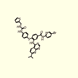 CC(C)c1ccc2c(Nc3cc(C(=O)Nc4ccc(Br)cn4)ccc3Sc3ccc(NC(=O)NCc4cccs4)cc3)ncnc2n1